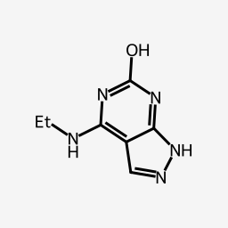 CCNc1nc(O)nc2[nH]ncc12